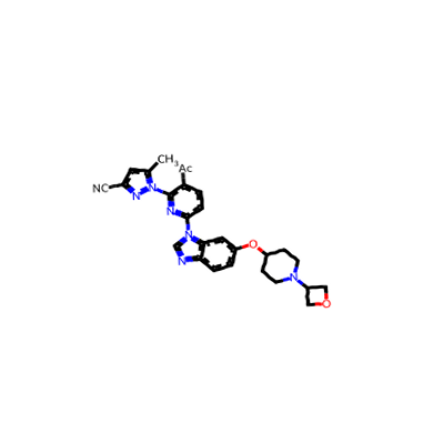 CC(=O)c1ccc(-n2cnc3ccc(OC4CCN(C5COC5)CC4)cc32)nc1-n1nc(C#N)cc1C